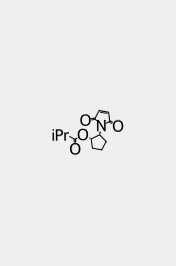 CC(C)C(=O)O[C@H]1CCC[C@@H]1N1C(=O)C=CC1=O